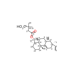 C=C[C@@]1(C)CC=C2[C@@H](CC[C@@H]3[C@](C)(COC(=O)CC(C)(C)C(=O)O)CCC[C@@]23C)C1